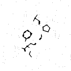 CCOC(CC=C=CC[C@@H]1[C@@H](C=CC(C)(C)[16OH])[C@H]([16OH])C[C@@H]1[16OH])(Oc1ccccc1)C(=O)O